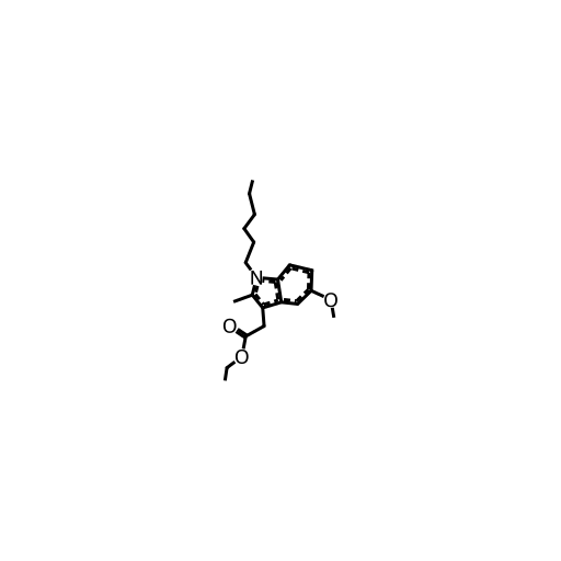 CCCCCCn1c(C)c(CC(=O)OCC)c2cc(OC)ccc21